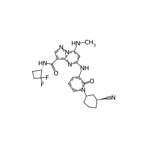 CNc1cc(Nc2cccn(C3CCC[C@H](C#N)C3)c2=O)nc2c(C(=O)N[C@H]3CCC3(F)F)cnn12